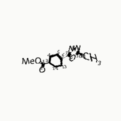 COC(=O)[C@H]1CC[C@H](c2nnc(C)o2)CC1